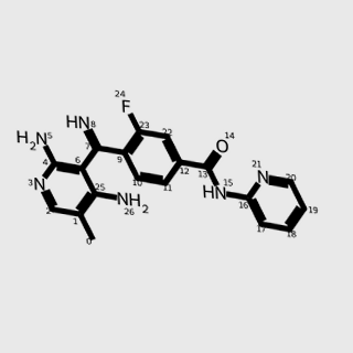 Cc1cnc(N)c(C(=N)c2ccc(C(=O)Nc3ccccn3)cc2F)c1N